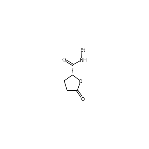 CCNC(=O)[C@H]1CCC(=O)O1